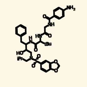 CC(C)CN(CC(O)C(Cc1ccccc1)NC(=O)C(NC(=O)CNC(=O)c1ccc(N)cc1)C(C)(C)C)S(=O)(=O)c1ccc2c(c1)OCO2